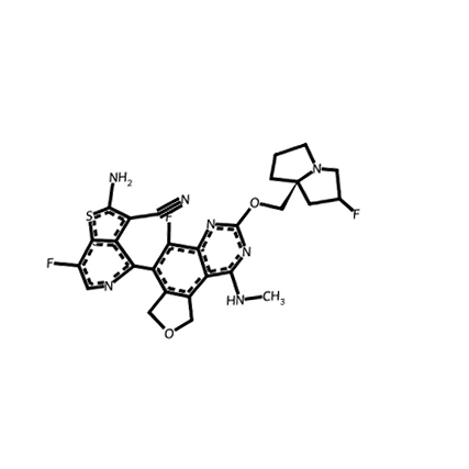 CNc1nc(OC[C@@]23CCCN2CC(F)C3)nc2c(F)c(-c3ncc(F)c4sc(N)c(C#N)c34)c3c(c12)COC3